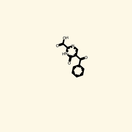 O=C(O)c1ncc(C(=O)c2ccccc2)c(=O)[nH]1